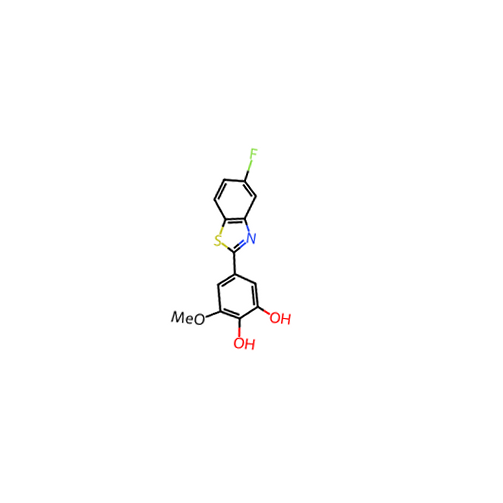 COc1cc(-c2nc3cc(F)ccc3s2)cc(O)c1O